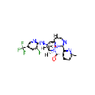 Cc1ccc(C(=O)N2C[C@@H]3CC[C@H]2[C@H](Nc2ncc(C(F)(F)F)cc2F)C3)c(-c2ncccn2)n1